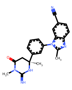 Cc1nc2ccc(C#N)cc2n1-c1cccc([C@]2(C)CC(=O)N(C)C(=N)N2)c1